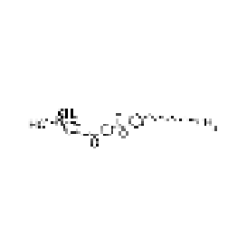 CCCCCCCCCCc1ccc(C(=O)Nc2ccc(C(=O)/C=C/c3ccc(N(C)CCO)cc3)cc2)cc1